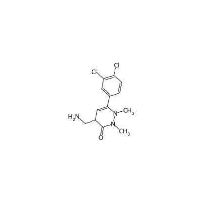 CN1C(=O)C(CN)C=C(c2ccc(Cl)c(Cl)c2)N1C